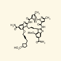 CCn1nc(C)cc1C(=O)Nc1nc2cc(C(N)=O)cc(OC)c2n1CC=CCn1c(NC(=O)c2cc(C)nn2CC)nc2cc(C(N)=O)cc(OCC#CCC3CCN(C(=O)O)C3)c21